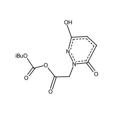 CC(C)COC(=O)OC(=O)Cn1nc(O)ccc1=O